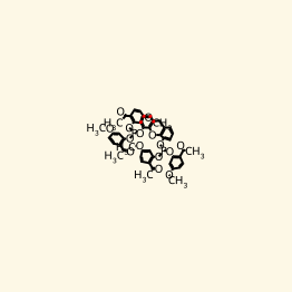 COc1ccc(C(C)=O)c(OP(Oc2cc(OC)ccc2C(C)=O)Oc2cccc3c2Oc2c(cccc2OP(Oc2cc(OC)ccc2C(C)=O)Oc2cc(OC)ccc2C(C)=O)C3)c1